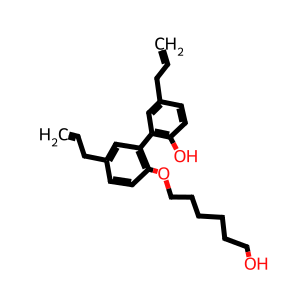 C=CCc1ccc(O)c(-c2cc(CC=C)ccc2OCCCCCCO)c1